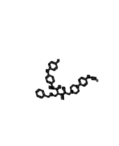 COc1ccc(N2CCN(CC(=O)NC(COCc3ccccc3)C(=O)Nc3ccc(Oc4ccc(F)cc4)cc3)CC2)cc1